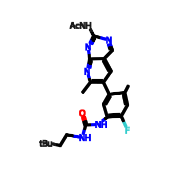 CC(=O)Nc1ncc2cc(-c3cc(NC(=O)NCCC(C)(C)C)c(F)cc3C)c(C)nc2n1